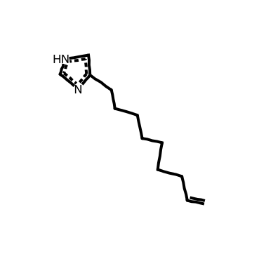 C=CCCCCCCCc1c[nH]cn1